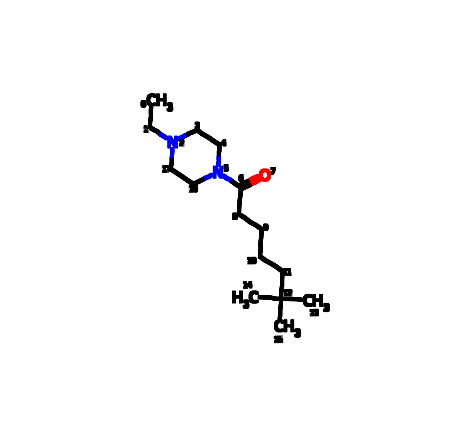 CCN1CCN(C(=O)CCCCC(C)(C)C)CC1